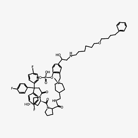 C[N+]1(Cc2cc(C(O)CNCCCCCCOCCCCc3ccccc3)ccc2OP(=O)(O)O)CCC(CNC(=O)C2CCCN2C(=O)[C@H]2C[C@H](O)CN2C(=O)CC(c2ccc(F)cc2)(c2ccc(F)cc2)c2ccc(F)cc2)CC1